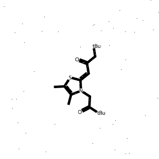 CC1=C(C)N(CC(=O)C(C)(C)C)/C(=C/C(=O)CC(C)(C)C)S1